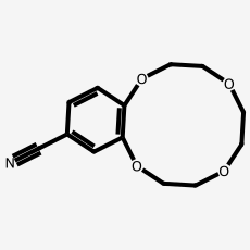 N#Cc1ccc2c(c1)OCCOCCOCCO2